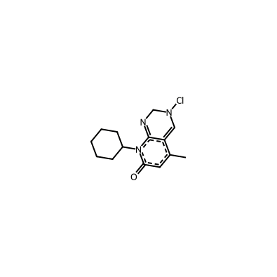 Cc1cc(=O)n(C2CCCCC2)c2c1=CN(Cl)CN=2